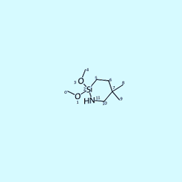 CO[Si]1(OC)CCC(C)(C)CN1